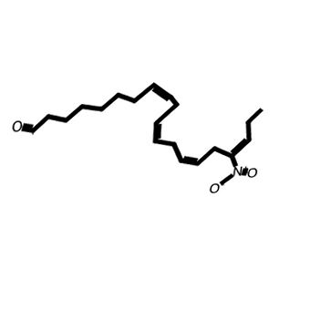 CC/C=C(\C/C=C\C/C=C\C/C=C\CCCCCC[C]=O)[N+](=O)[O-]